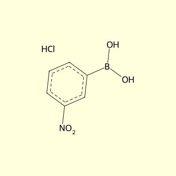 Cl.O=[N+]([O-])c1cccc(B(O)O)c1